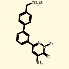 CCOC(=O)Cc1ccc(-c2cccc(-c3cc(N)c(=O)n(CC)n3)c2)cc1